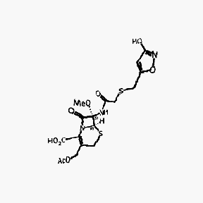 CO[C@@]1(NC(=O)CSCc2cc(O)no2)C(=O)N2C(C(=O)O)=C(COC(C)=O)CS[C@@H]21